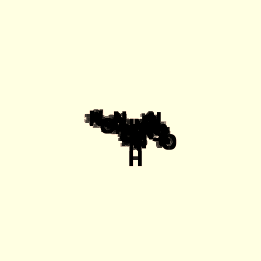 CC(=O)c1ccc(-c2nccc3[nH]c(-c4n[nH]c5ccc(-c6cncc(OCCN(C)C)c6)nc45)nc23)s1